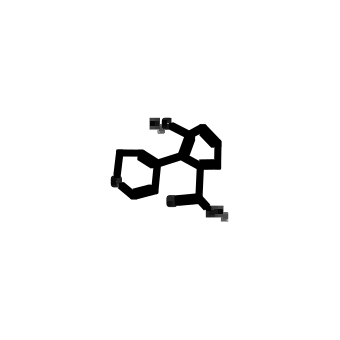 Cc1cccc(C(N)=O)c1C1=CCOC=C1